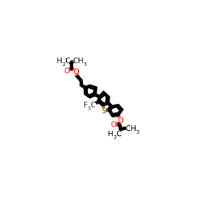 C=C(C)C(=O)OCCCc1ccc(-c2ccc3c(sc4cc(OC(=O)C(=C)C)ccc43)c2C(F)(F)F)cc1